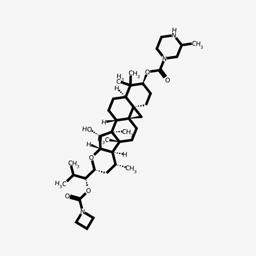 CC1CN(C(=O)O[C@H]2CC[C@]34C[C@]35CC[C@]3(C)[C@@H]6[C@H](O[C@@H]([C@H](OC(=O)N7CCC7)C(C)C)C[C@H]6C)[C@H](O)[C@@]3(C)[C@@H]5CC[C@H]4C2(C)C)CCN1